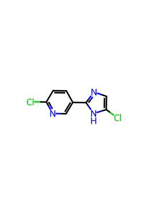 Clc1ccc(-c2ncc(Cl)[nH]2)cn1